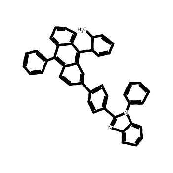 CC1C=CC=CC1c1c2ccccc2c(-c2ccccc2)c2ccc(-c3ccc(-c4nc5ccccc5n4-c4ccccc4)cc3)cc12